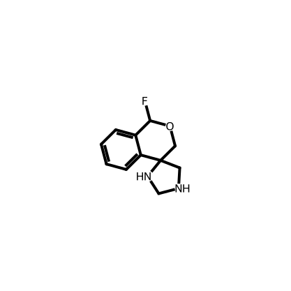 FC1OCC2(CNCN2)c2ccccc21